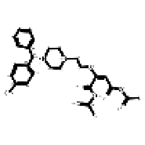 CC(=O)OC(=O)/C=C(/OCCN1CCN([C@@H](c2ccccc2)c2ccc(Cl)cc2)CC1)C(=O)OC(C)=O